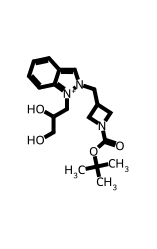 CC(C)(C)OC(=O)N1CC(Cn2cc3ccccc3[n+]2CC(O)CO)C1